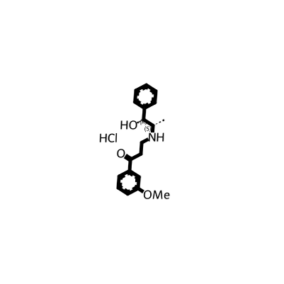 COc1cccc(C(=O)CCN[C@@H](C)[C@H](O)c2ccccc2)c1.Cl